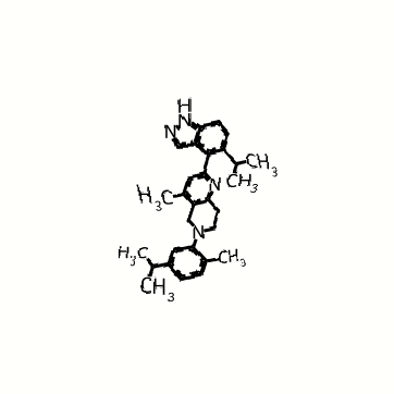 Cc1ccc(C(C)C)cc1N1CCc2nc(-c3c(C(C)C)ccc4[nH]ncc34)cc(C)c2C1